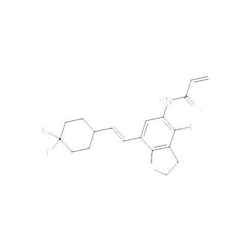 C=CC(=O)Nc1cc(C=CC2CCC(F)(F)CC2)c2c(c1F)CCO2